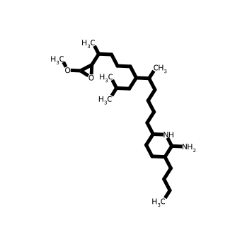 CCCCC1CCC(CCCCC(C)C(CCCC(C)C2OC2OC)CC(C)C)NC1N